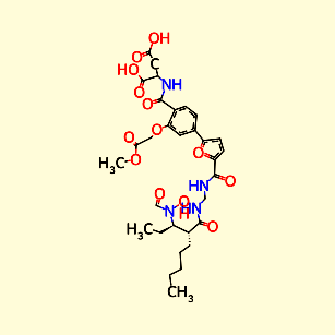 CCCCC[C@@H](C(=O)NCNC(=O)c1ccc(-c2ccc(C(=O)NC(CC(=O)O)C(=O)O)c(OCC(=O)OC)c2)o1)[C@@H](CC)N(O)C=O